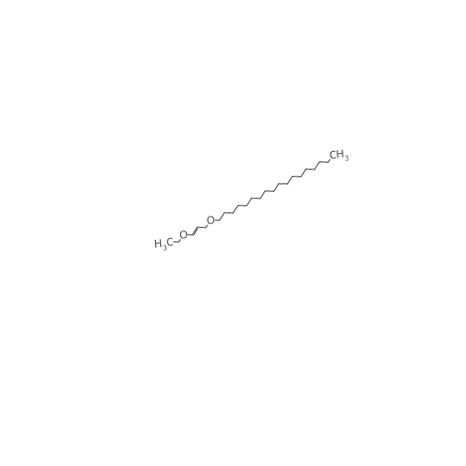 CCCCCCCCCCCCCCCCCCOCC=COCC